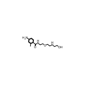 Cc1cc(N)ccc1C(=O)NCCOCCNCCO